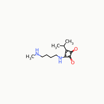 CNCCCCNc1c(C(C)C)c(=O)c1=O